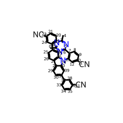 Cc1nc(C)nc(-c2ccc(C#N)cc2-n2c3cc(-c4cccc(C#N)c4)ccc3c3ccc(-c4cccc(C#N)c4)cc32)n1